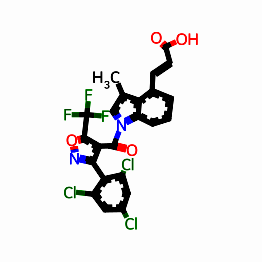 Cc1cn(C(=O)c2c(-c3c(Cl)cc(Cl)cc3Cl)noc2C(F)(F)F)c2cccc(/C=C/C(=O)O)c12